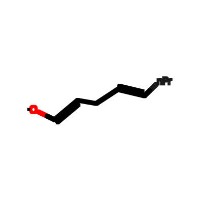 CCCC=CCC=C[O]